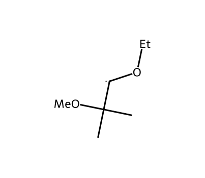 CCO[CH]C(C)(C)OC